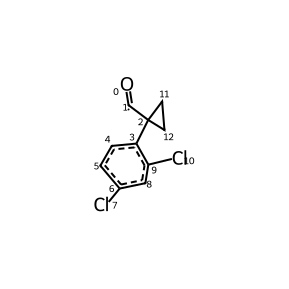 O=[C]C1(c2ccc(Cl)cc2Cl)CC1